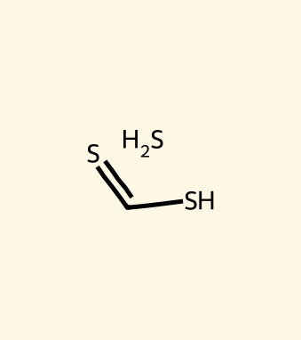 S.S=CS